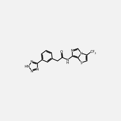 O=C(Cc1cccc(-c2nn[nH]n2)c1)Nc1ncn2c(C(F)(F)F)csc12